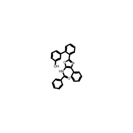 O=C(Nc1oc(-c2ccccc2-c2cccc(O)c2)nc1-c1ccccc1)c1ccccc1